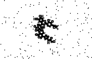 CCN1CCN(C(=O)NC(C(=O)N[C@]2(NC=O)C(=O)N3C(C(=O)[O-])=C(C(=S)c4nnc(NC(=O)CCl)s4)CS[C@H]32)c2ccc(O)c(O)c2)C(=O)C1=O.[Na+]